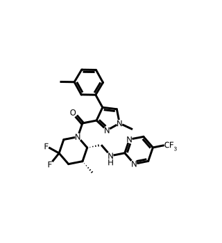 Cc1cccc(-c2cn(C)nc2C(=O)N2CC(F)(F)C[C@@H](C)[C@H]2CNc2ncc(C(F)(F)F)cn2)c1